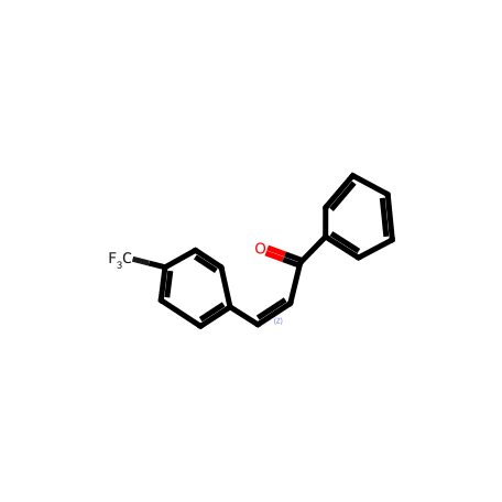 O=C(/C=C\c1ccc(C(F)(F)F)cc1)c1ccccc1